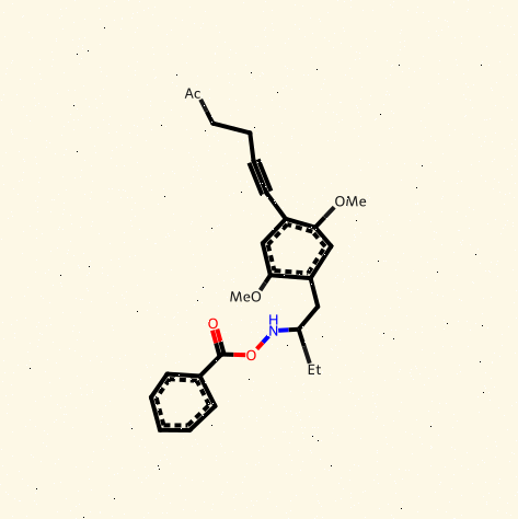 CCC(Cc1cc(OC)c(C#CCCC(C)=O)cc1OC)NOC(=O)c1ccccc1